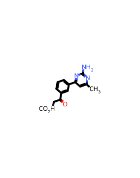 Cc1cc(-c2cccc(C(=O)CC(=O)O)c2)nc(N)n1